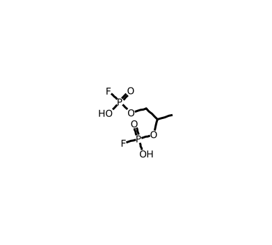 CC(COP(=O)(O)F)OP(=O)(O)F